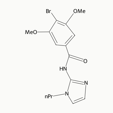 CCCn1ccnc1NC(=O)c1cc(OC)c(Br)c(OC)c1